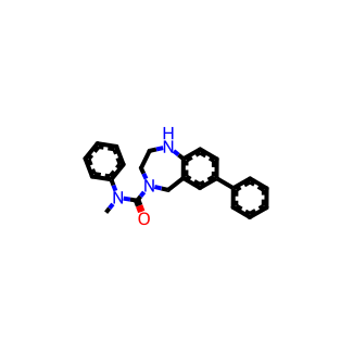 CN(C(=O)N1CCNc2ccc(-c3ccccc3)cc2C1)c1ccccc1